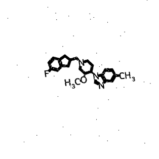 CO[C@H]1CN(CC2Cc3ccc(F)cc3C2)CC[C@H]1n1cnc2cc(C)ccc21